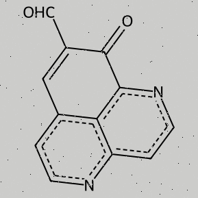 O=CC1=Cc2ccnc3ccnc(c23)C1=O